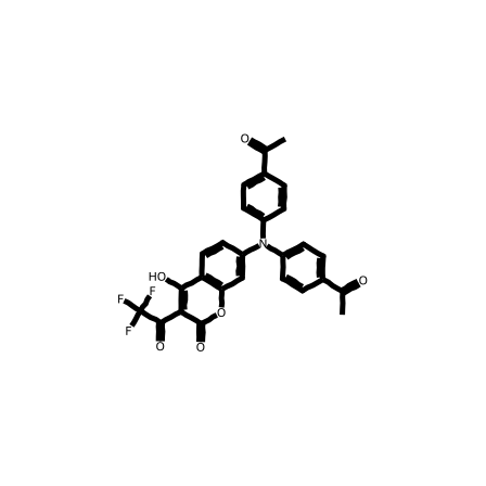 CC(=O)c1ccc(N(c2ccc(C(C)=O)cc2)c2ccc3c(O)c(C(=O)C(F)(F)F)c(=O)oc3c2)cc1